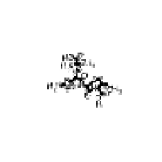 CCC1=C(C(=O)O)N2C(=O)C(NC(=O)/C(=N\OC(C)(C)C(=O)O)c3nsc(N)n3)C2SC1